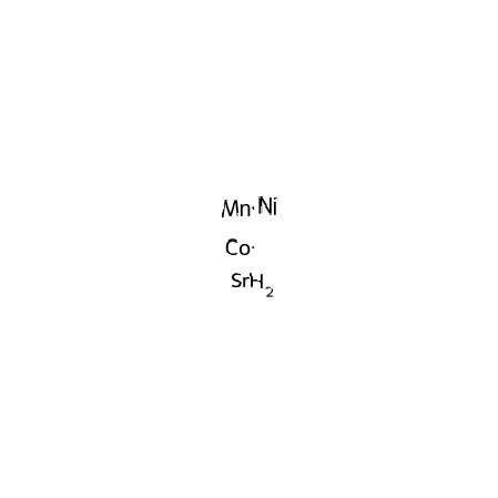 [Co].[Mn].[Ni].[SrH2]